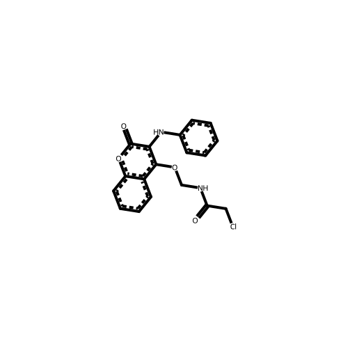 O=C(CCl)NCOc1c(Nc2ccccc2)c(=O)oc2ccccc12